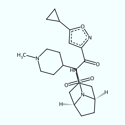 CN1CCC(CS(=O)(=O)N2[C@@H]3CC[C@H]2CC(NC(=O)c2cc(C4CC4)on2)C3)CC1